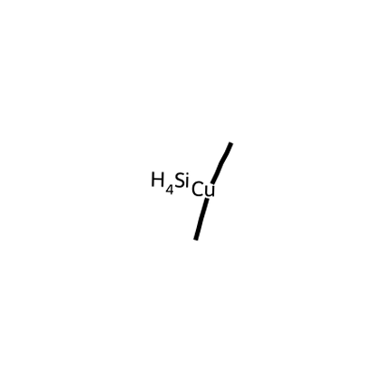 [CH3][Cu][CH3].[SiH4]